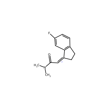 CN(C)C(=O)/C=C1/CCc2ccc(F)cc21